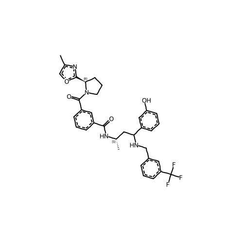 Cc1coc([C@H]2CCCN2C(=O)c2cccc(C(=O)N[C@@H](C)CC(NCc3cccc(C(F)(F)F)c3)c3cccc(O)c3)c2)n1